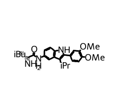 CC[C@@H](C)[C@@H](N)C(=O)Nc1ccc2[nH]c(-c3ccc(OC)c(OC)c3)c(C(C)C)c2c1